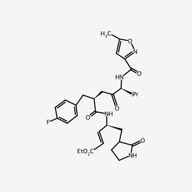 CCOC(=O)/C=C/[C@H](CC1CCNC1=O)NC(=O)[C@H](CC(=O)[C@@H](NC(=O)c1cc(C)on1)C(C)C)Cc1ccc(F)cc1